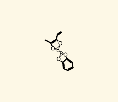 C=CC1=C(C)OB(B2Oc3ccccc3O2)O1